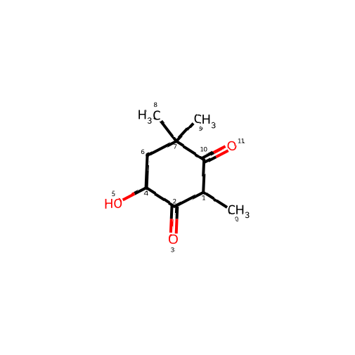 CC1C(=O)C(O)CC(C)(C)C1=O